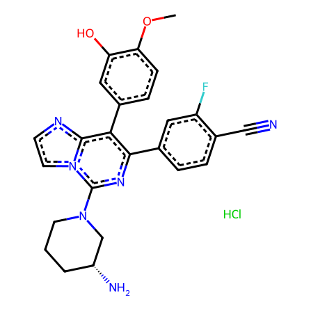 COc1ccc(-c2c(-c3ccc(C#N)c(F)c3)nc(N3CCC[C@@H](N)C3)n3ccnc23)cc1O.Cl